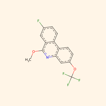 COc1nc2cc(OC(F)(F)F)ccc2c2ccc(F)cc12